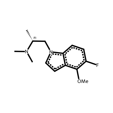 COc1c(F)ccc2c1ccn2C[C@@H](C)N(C)C